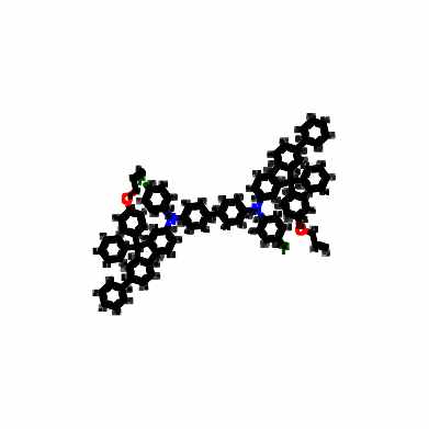 C=CCOc1ccc(C2(c3ccccc3)c3cc(-c4ccccc4)ccc3-c3ccc(N(c4ccc(F)cc4)c4ccc(-c5ccc(N(c6ccc(F)cc6)c6ccc7c(c6)C(c6ccccc6)(c6ccc(OCC=C)cc6)c6cc(-c8ccccc8)ccc6-7)cc5)cc4)cc32)cc1